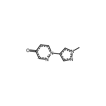 Cn1cc(-n2ccc(=O)[c]n2)cn1